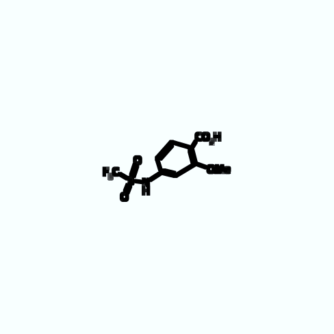 COc1cc(NS(=O)(=O)C(F)(F)F)ccc1C(=O)O